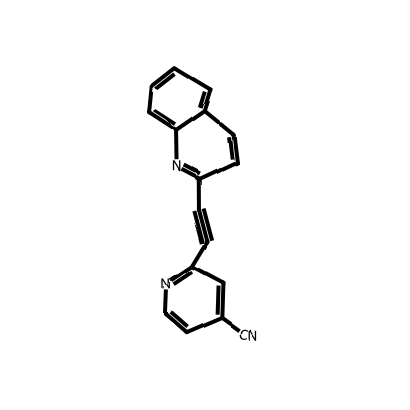 N#Cc1ccnc(C#Cc2ccc3ccccc3n2)c1